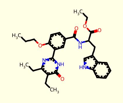 CCCOc1ccc(C(=O)NC(Cc2c[nH]c3ccccc23)C(=O)OCC)cc1-c1nc(CC)c(CC)c(=O)[nH]1